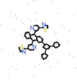 c1ccc(-c2cc(-c3ccccc3)cc(-c3ccc4c(-c5cc(-c6nccs6)ccn5)c5ccccc5c(-c5cc(-c6nccs6)ccn5)c4c3)c2)cc1